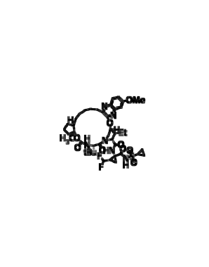 CC[C@@H]1[C@@H]2CN(C(=O)[C@H](C(C)(C)C)NC(=O)O[C@]3(C)CCC[C@H]3CCCCCc3nc4ccc(OC)cc4nc3O2)[C@@H]1C(=O)N[C@]1(C(=O)NS(=O)(=O)C2CC2)C[C@H]1C(F)F